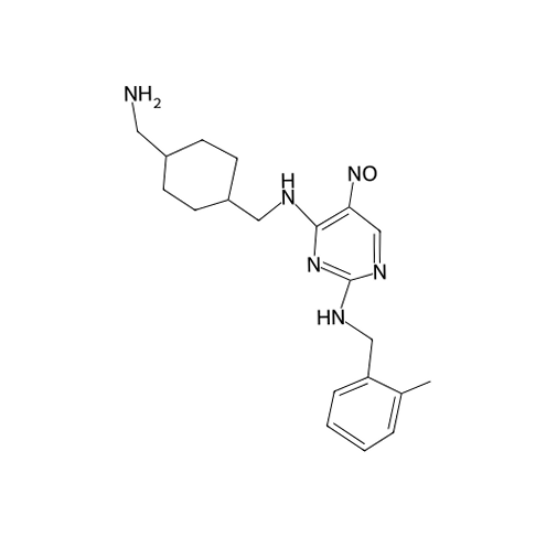 Cc1ccccc1CNc1ncc(N=O)c(NCC2CCC(CN)CC2)n1